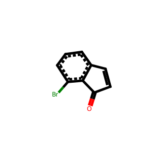 O=C1C=Cc2cccc(Br)c21